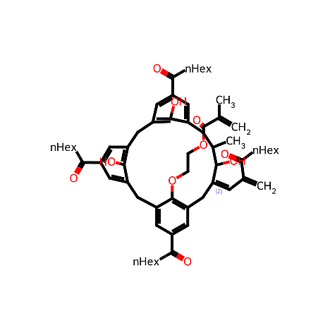 C=C(C)C(=O)OCCOc1c2cc(C(=O)CCCCCC)cc1Cc1cc(C(=O)CCCCCC)cc(c1O)Cc1cc(C(=O)CCCCCC)cc(c1O)CC(C)C(O)/C(=C\C(=C)C(=O)CCCCCC)C2